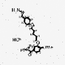 COc1ccc(C(=O)N(C(C)C)C(C)C)cc1OCCCCCOc1ccc(C=NN)cc1.Cl